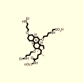 CCCCCCCCNC(=O)CC[C@@H](C)[C@H]1CC[C@H]2[C@@H]3[C@H](OCCCNCS(=O)(=O)O)C[C@@H]4C[C@H](OCCCNCC)CC[C@]4(C)[C@H]3C[C@H](OCCCNCC)[C@]12C